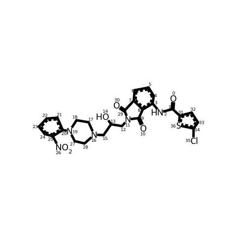 O=C(Nc1cccc2c1C(=O)N(CC(O)CN1CCN(c3ccccc3[N+](=O)[O-])CC1)C2=O)c1ccc(Cl)s1